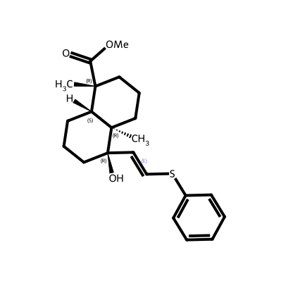 COC(=O)[C@]1(C)CCC[C@]2(C)[C@@H]1CCC[C@@]2(O)/C=C/Sc1ccccc1